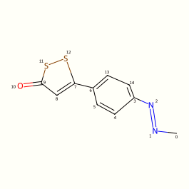 CN=Nc1ccc(-c2cc(=O)ss2)cc1